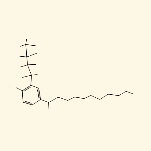 CCCCCCCCCCC(C)c1ccc(O)c(C(F)(F)C(F)(F)C(F)(F)C(F)(F)F)c1